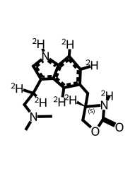 [2H]c1c(C[C@@]2([2H])COC(=O)N2[2H])c([2H])c2c(C([2H])([2H])CN(C)C)cn([2H])c2c1[2H]